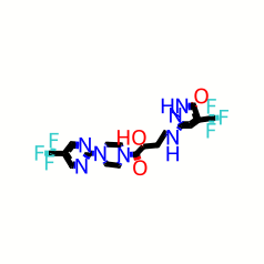 O=C(C(O)CCNc1cc(C(F)(F)F)c(=O)[nH]n1)N1CCN(c2ncc(C(F)(F)F)cn2)CC1